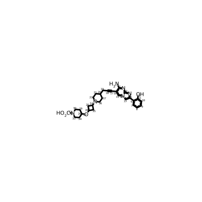 Nc1nc2nc(-c3ccccc3O)cn2cc1C#CCC1CCN(C2CC(OC3CCN(C(=O)O)CC3)C2)CC1